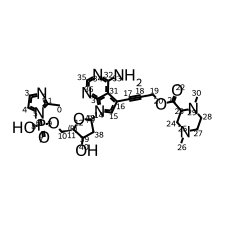 Cc1nccn1P(=O)(O)OC[C@H]1O[C@@H](n2cc(C#CCOC(=O)C3CN(C)CCN3C)c3c(N)ncnc32)CC1O